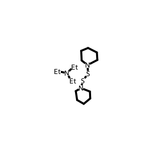 C1CCN(SSN2CCCCC2)CC1.CCN(CC)CC